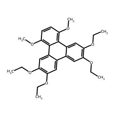 CCOc1cc2c3cc(OCC)c(OCC)cc3c3c(OC)ccc(OC)c3c2cc1OCC